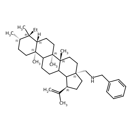 C=C(C)[C@@H]1CC[C@]2(CNCc3ccccc3)CC[C@]3(C)C(CCC4[C@@]5(C)CC[C@H](C)[C@@](C)(CC)[C@@H]5CC[C@]43C)C12